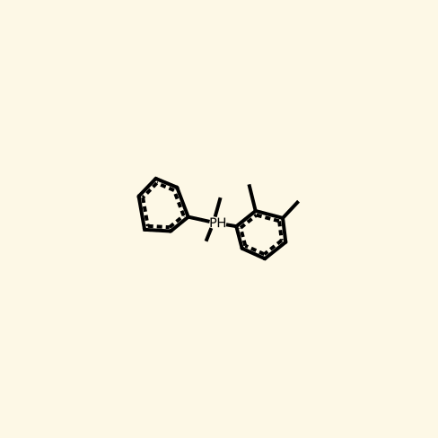 Cc1cccc([PH](C)(C)c2ccccc2)c1C